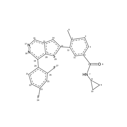 Cc1ccc(C(=O)NC2CC2)cc1-c1cc2cnnc(-c3ccc(F)cc3F)c2s1